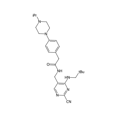 CC(C)N1CCN(c2ccc(CC(=O)NCc3cnc(C#N)nc3NCC(C)(C)C)cc2)CC1